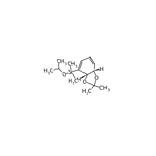 CC(C)O[Si](C)(C)C1=CC=C[C@@H]2OC(C)(C)O[C@H]12